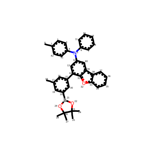 Cc1ccc(N(c2ccccc2)c2cc(-c3cc(C)cc(B4OC(C)(C)C(C)(C)O4)c3)c3oc4ccccc4c3c2)cc1